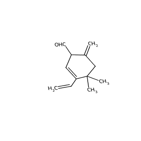 C=CC1=CC(C=O)C(=C)CC1(C)C